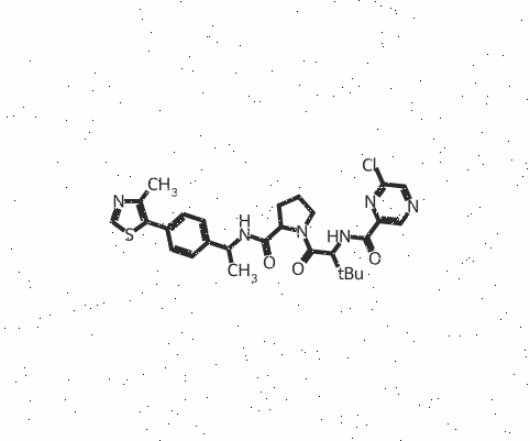 Cc1ncsc1-c1ccc(C(C)NC(=O)C2CCCN2C(=O)C(NC(=O)c2cncc(Cl)n2)C(C)(C)C)cc1